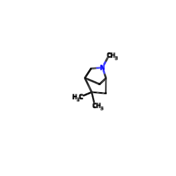 CN1CC2CC1CC2(C)C